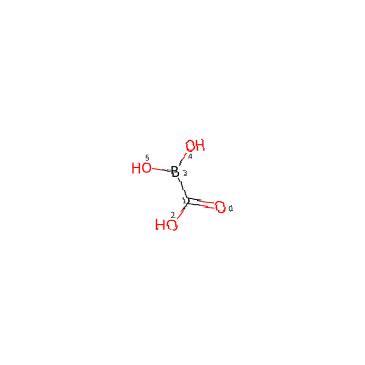 O=C(O)B(O)O